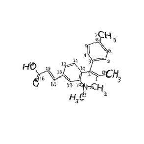 CC=C(c1ccc(C)cc1)c1ccc(C=CC(=O)O)cc1N(C)C